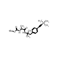 C[C@H](NC(=O)OC(C)(C)C)C(=O)NC(C)(C)Cc1ccc(C#C[Si](C)(C)C)cc1